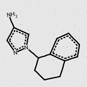 Nc1cnn(C2CCCc3ccccc32)c1